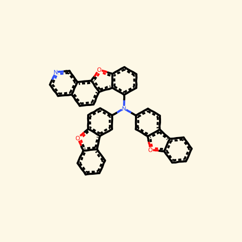 c1ccc2c(c1)oc1cc(N(c3ccc4oc5ccccc5c4c3)c3cccc4oc5c6cnccc6ccc5c34)ccc12